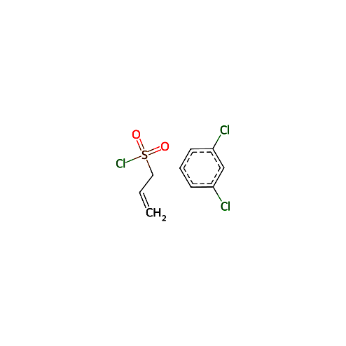 C=CCS(=O)(=O)Cl.Clc1cccc(Cl)c1